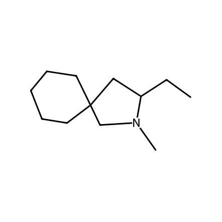 CCC1CC2(CCCCC2)CN1C